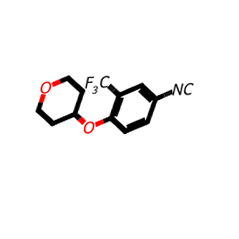 [C-]#[N+]c1ccc(OC2CCOCC2)c(C(F)(F)F)c1